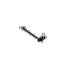 O=C1CCC(N2Cc3c(NCCOCCOCCOCCOCCOCCS(=O)(=O)O)cccc3C2=O)C(=O)N1